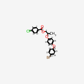 CC(COC(=O)c1ccc(Cl)cc1)Oc1ccc(Oc2ccc(Br)cc2)cc1